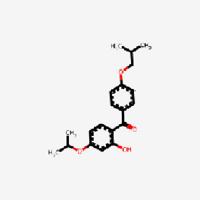 CC(C)COc1[c]cc(C(=O)c2ccc(OC(C)C)cc2O)cc1